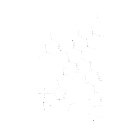 CNc1c(-n2c(C(Cc3cc(F)cc(F)c3)NC(=O)Cn3nc(C(F)F)c4c3C(F)(F)C3CC43)nc3cc(-c4cnn(CC(F)(F)F)c4)ccc3c2=O)ccc(Cl)c1C(=N)NSC